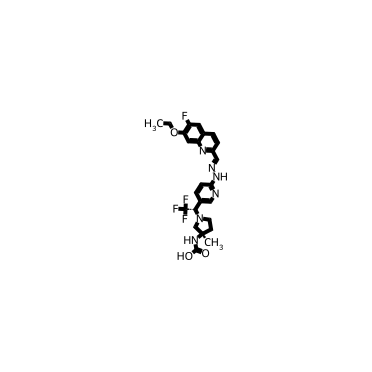 CCOc1cc2nc(C=NNc3ccc([C@H](N4CC[C@](C)(NC(=O)O)C4)C(F)(F)F)cn3)ccc2cc1F